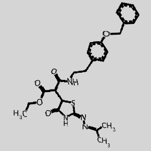 CCOC(=O)C(C(=O)NCCc1ccc(OCc2ccccc2)cc1)C1SC(=NN=C(C)C)NC1=O